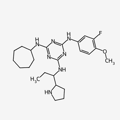 CCC(Nc1nc(Nc2ccc(OC)c(F)c2)nc(NC2CCCCCC2)n1)C1CCCN1